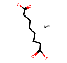 O=C([O-])CCCCCCC(=O)[O-].[Pd+2]